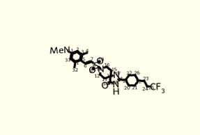 CNc1cc(C)c(/C=C/S(=O)(=O)N2CCC3(CC2)N=C(C2CCC(CCC(F)(F)F)CC2)NC3=O)c(C)c1